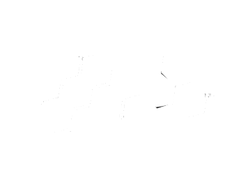 CC[C@H]1CNCC[C@H]1CCC(=O)c1ccnc2cc(OC)c(OC)cc12